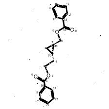 O=C(OC[CH][C@@H]1C[C@H]1COC(=O)c1ccccc1)c1ccccc1